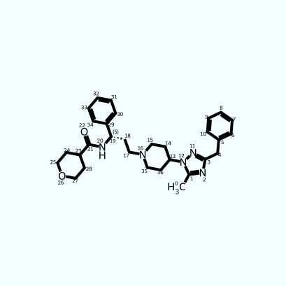 Cc1nc(Cc2ccccc2)nn1C1CCN(CC[C@H](NC(=O)C2CCOCC2)c2ccccc2)CC1